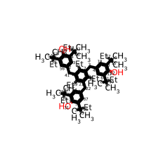 CCc1c(Cc2cc(C(C)(C)CC)c(O)c(C(C)(C)CC)c2)c(CC)c(Cc2cc(C(C)(C)CC)c(O)c(C(C)(C)CC)c2)c(CC)c1Cc1cc(C(C)(C)CC)c(O)c(C(C)(C)CC)c1